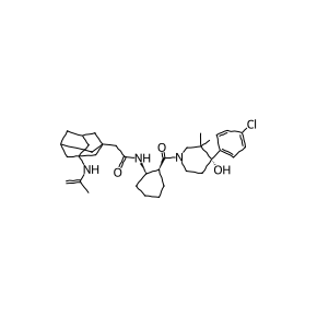 C=C(C)NC12CC3CC(CC(CC(=O)N[C@@H]4CCCC[C@@H]4C(=O)N4CC[C@](O)(c5ccc(Cl)cc5)C(C)(C)C4)(C3)C1)C2